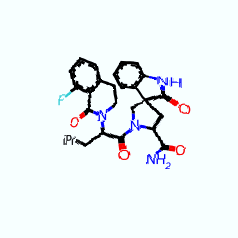 CC(C)CC(C(=O)N1C[C@]2(CC1C(N)=O)C(=O)Nc1ccccc12)N1CCc2cccc(F)c2C1=O